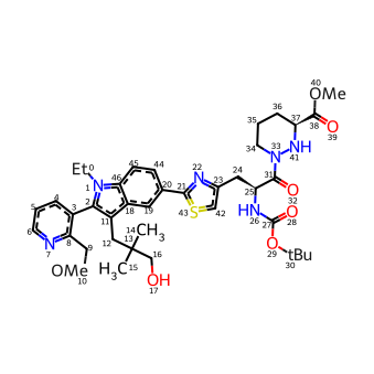 CCn1c(-c2cccnc2COC)c(CC(C)(C)CO)c2cc(-c3nc(C[C@H](NC(=O)OC(C)(C)C)C(=O)N4CCC[C@@H](C(=O)OC)N4)cs3)ccc21